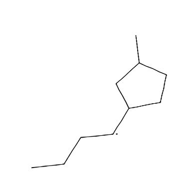 CCC[CH]C1CCC(C)C1